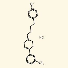 Cl.[O-][n+]1ccc(CCCCN2CC=C(c3cccc(C(F)(F)F)c3)CC2)cc1